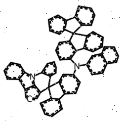 c1ccc2c(c1)-c1ccccc1C21c2ccccc2-c2c(N(c3ccc4c(c3)C3(c5ccccc5-4)c4ccccc4-n4c5ccccc5c5cccc3c54)c3ccc4ccccc4c3)cccc21